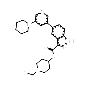 CC(C)CN1CCC(NC(=O)c2n[nH]c3ccc(-c4cncc(N5CCCCC5)c4)cc23)CC1